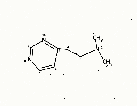 CN(C)CCc1ccncn1